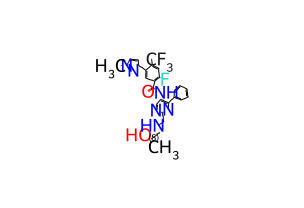 C[C@H](O)CNCc1ncc(NC(=O)c2cc(-c3ccn(C)n3)c(C(F)(F)F)cc2F)c(-c2ccccc2)n1